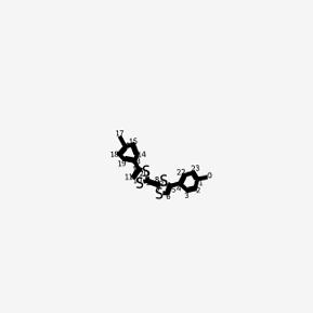 Cc1ccc(C2=CS/C(=C3\SC=C(c4ccc(C)cc4)S3)S2)cc1